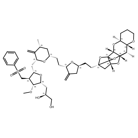 C=C1C[C@H](CC[C@@]23C[C@H]4O[C@H]5[C@@H](O2)[C@H]2OCCC[C@@H]2O[C@H]5[C@H]4O3)O[C@H]1CC[C@H]1C[C@@H](C)C(=C)[C@@H](C[C@@H]2O[C@H](C[C@H](O)CO)[C@H](OC)[C@H]2CS(=O)(=O)c2ccccc2)O1